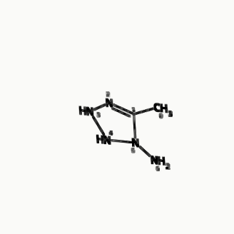 CC1=NNNN1N